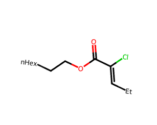 CCC=C(Cl)C(=O)OCCCCCCCC